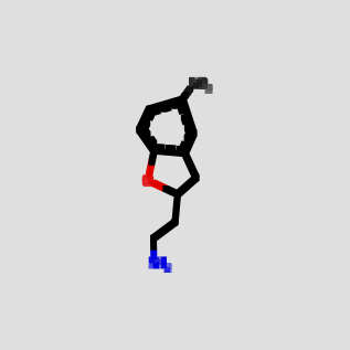 NCCC1Cc2cc([N+](=O)[O-])ccc2O1